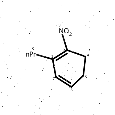 CCCC1=C([N+](=O)[O-])CCC=C1